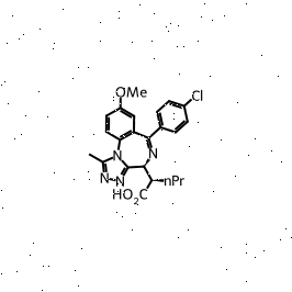 CCC[C@@H](C(=O)O)[C@@H]1N=C(c2ccc(Cl)cc2)c2cc(OC)ccc2-n2c(C)nnc21